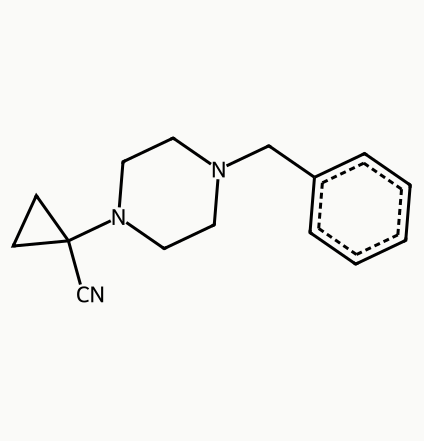 N#CC1(N2CCN(Cc3ccccc3)CC2)CC1